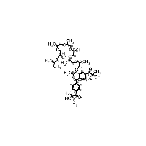 CC(N)COC(C)COC(C)COC(C)COC(C)COC(C)COC(C)COCC(C)NC(c1ccc(C(=O)C(C)(C)O)cc1)c1ccc(C(=O)C(C)(C)O)cc1